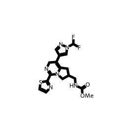 COC(=O)NCC1CC2=C(c3cnn(C(F)F)c3)CN=C(c3nccs3)N2C1